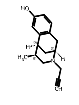 C#CCN1C[C@@H](C)[C@@H]2C[C@H]1Cc1ccc(O)cc12